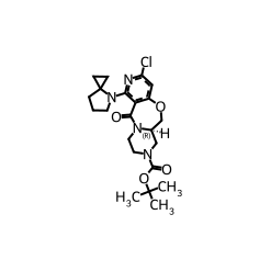 CC(C)(C)OC(=O)N1CCN2C(=O)c3c(cc(Cl)nc3N3CCCC34CC4)OC[C@H]2C1